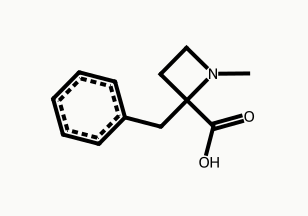 CN1CCC1(Cc1ccccc1)C(=O)O